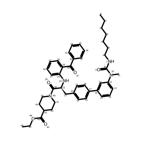 CCCCCCCNC(=O)N(C)c1cccc(-c2ccc(C[C@H](Nc3ccccc3C(=O)c3ccccc3)C(=O)N3CCC(C(=O)OCC)CC3)cc2)c1